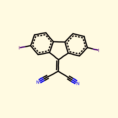 N#CC(C#N)=C1c2cc(I)ccc2-c2ccc(I)cc21